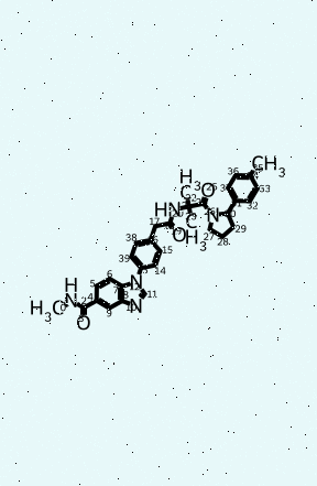 CNC(=O)c1ccc2c(c1)ncn2-c1ccc(CC(=O)NC(C)(C)C(=O)N2CCCC2c2ccc(C)cc2)cc1